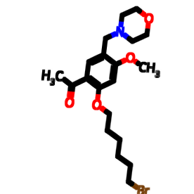 COc1cc(OCCCCCCBr)c(C(C)=O)cc1CN1CCOCC1